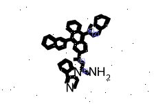 C/C=C(\C=C/c1ccccc1)c1c2ccccc2c(-c2ccc3ccccc3c2)c2cc(/C(C)=C/C(=C\N)n3c4ccccc4c4cnccc43)ccc12